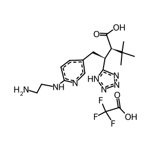 CC(C)(C)[C@H](C(=O)O)[C@H](Cc1ccc(NCCN)nc1)c1nnn[nH]1.O=C(O)C(F)(F)F